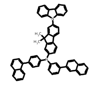 CC1(C)c2cc(N(c3ccc(-c4cccc5ccccc45)cc3)c3cccc(-c4ccc5ccccc5c4)c3)ccc2-c2ccc(-n3c4ccccc4c4ccccc43)cc21